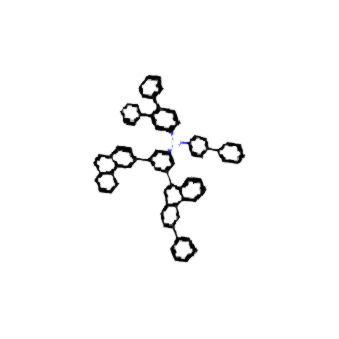 c1ccc(-c2ccc(N(c3cc(-c4ccc5ccc6ccccc6c5c4)cc(-c4cc5ccc(-c6ccccc6)cc5c5ccccc45)c3)c3ccc(-c4ccccc4)c(-c4ccccc4)c3)cc2)cc1